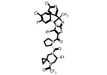 CC[C@@H]1CN(C(=O)C(F)(F)F)C2(CC2)CN1C(=O)[C@@H]1CCCN1C(=O)C1=C(C(C)C)N2C(=N[C@@](C)(c3ccc(Cl)nc3)[C@H]2c2ccc(Cl)c(F)c2)S1